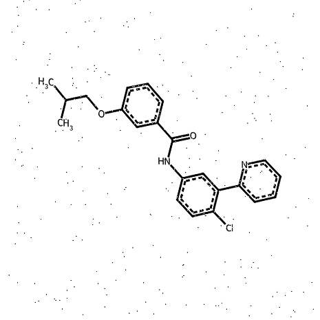 CC(C)COc1cccc(C(=O)Nc2ccc(Cl)c(-c3ccccn3)c2)c1